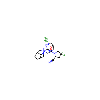 Cl.Cl.N#C[C@@H]1CC(F)(F)CN1C(=O)CNC1C2CCC1CN(c1ncccn1)C2